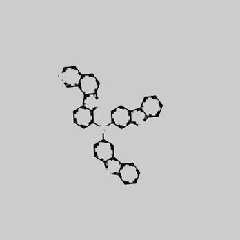 c1ccc2c(c1)oc1ccc(N(c3ccc4c(c3)sc3ccccc34)c3cccc4c3sc3ccc5ccncc5c34)cc12